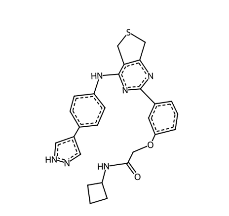 O=C(COc1cccc(-c2nc3c(c(Nc4ccc(-c5cn[nH]c5)cc4)n2)CSC3)c1)NC1CCC1